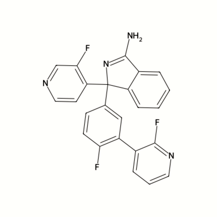 NC1=NC(c2ccc(F)c(-c3cccnc3F)c2)(c2ccncc2F)c2ccccc21